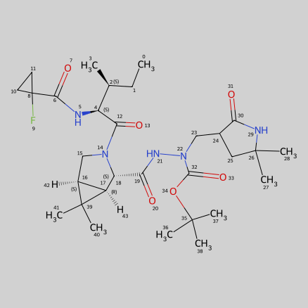 CC[C@H](C)[C@H](NC(=O)C1(F)CC1)C(=O)N1C[C@H]2[C@@H]([C@H]1C(=O)NN(CC1CC(C)(C)NC1=O)C(=O)OC(C)(C)C)C2(C)C